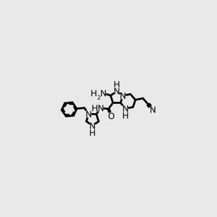 N#CCC1CNC2C(C(=O)NC3CNCN3Cc3ccccc3)C(N)NN2C1